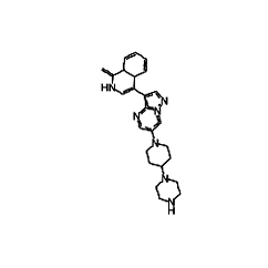 C=C1NC=C(c2cnn3cc(N4CCC(N5CCNCC5)CC4)cnc23)C2C=CC=CC12